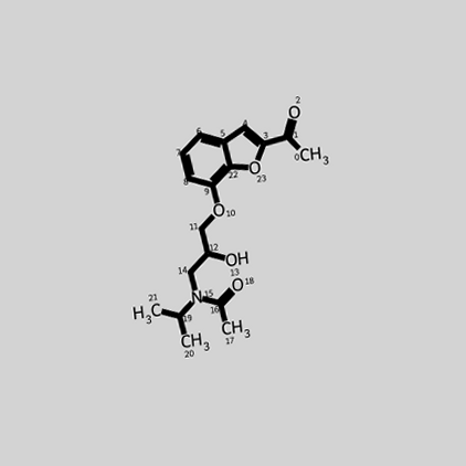 CC(=O)c1cc2cccc(OCC(O)CN(C(C)=O)C(C)C)c2o1